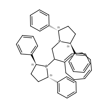 C1=CCCC(C(CP2[C@H](c3ccccc3)CC[C@H]2c2ccccc2)P2[C@H](c3ccccc3)CC[C@H]2c2ccccc2)=CCC1